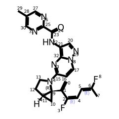 C=C(/C(F)=C\C=C(/C)F)[C@@]12C[C@@H]1CCN2c1ccn2ncc(NC(=O)c3ncc(C)cn3)c2n1